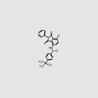 CC(C)(C)c1ccc([S+]([O-])Nc2ccc(Cl)c3c2C(=O)N(c2ccccn2)C3=O)cc1